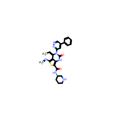 C=Nc1sc(C(=O)N[C@@H]2CCCNC2)c2c1/C(=C\C)N(c1cc(-c3ccccc3)cnn1)C(=O)N2